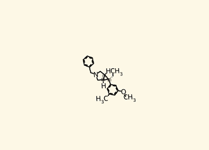 CC[C@]1(c2cc(C)cc(OC)c2)[C@@H]2CN(Cc3ccccc3)C[C@@H]21